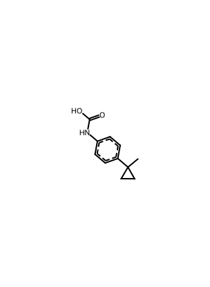 CC1(c2ccc(NC(=O)O)cc2)CC1